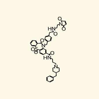 O=C(Cc1ccc(CN2C(=O)c3ccccc3S(=O)(=O)c3ccc(C(=O)NCCCN4CCC(Cc5ccccc5)CC4)cc32)cc1)NCCN1C(=O)C=CC1=O